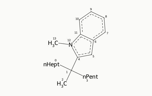 CCCCCCCC(C)(CCCCC)c1cc2ccccc2n1C